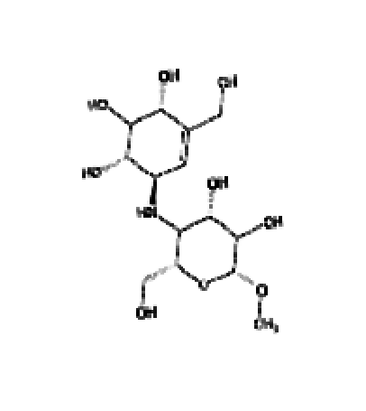 CO[C@@H]1O[C@H](CO)C(N[C@@H]2C=C(CO)[C@@H](O)C(O)[C@H]2O)[C@H](O)C1O